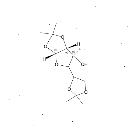 CC1(C)OCC(C2O[C@@H]3OC(C)(C)O[C@@H]3[C@@]2(C)O)O1